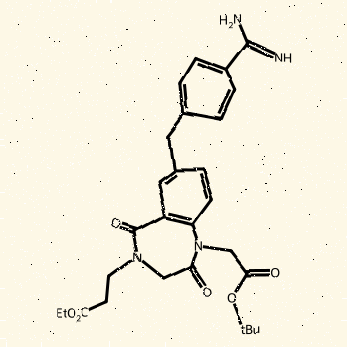 CCOC(=O)CCN1CC(=O)N(CC(=O)OC(C)(C)C)c2ccc(Cc3ccc(C(=N)N)cc3)cc2C1=O